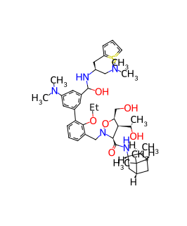 CCOc1c(CN2O[C@@H](CO)[C@@H]([C@H](C)O)[C@H]2C(=O)N[C@H]2C[C@H]3C[C@@H]([C@@H]2C)C3(C)C)cccc1-c1cc(C(O)N[C@@H](Cc2cccs2)CN(C)C)cc(N(C)C)c1